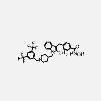 Cc1c(Cc2ccc(C(=O)NO)cc2)c2ccccc2n1CC1CCN(Cc2cc(C(F)(F)F)cc(C(F)(F)F)c2)CC1